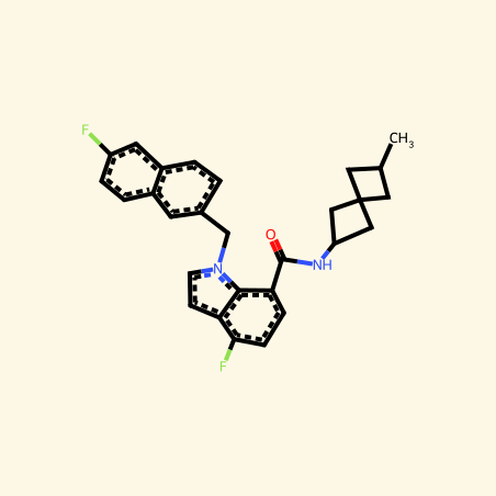 CC1CC2(C1)CC(NC(=O)c1ccc(F)c3ccn(Cc4ccc5cc(F)ccc5c4)c13)C2